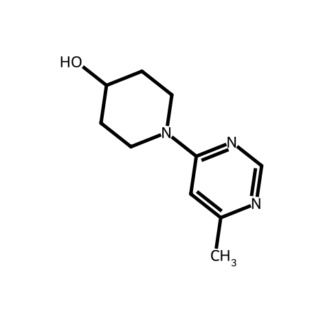 Cc1cc(N2CCC(O)CC2)ncn1